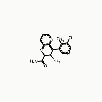 Cc1c(Cl)cncc1C1=c2ncccc2=NC(C(N)=O)C1N